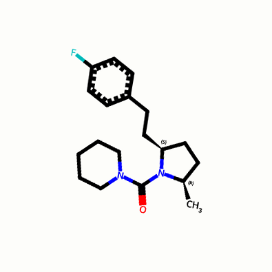 C[C@@H]1CC[C@H](CCc2ccc(F)cc2)N1C(=O)N1CCCCC1